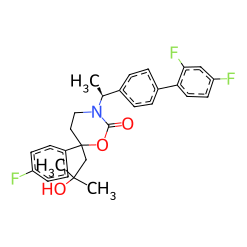 C[C@@H](c1ccc(-c2ccc(F)cc2F)cc1)N1CCC(CC(C)(C)O)(c2ccc(F)cc2)OC1=O